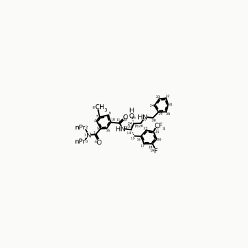 CCCN(CCC)C(=O)c1cc(C)cc(C(=O)N[C@@H](Cc2cc(F)cc(C(F)(F)F)c2)[C@H](O)CNCc2ccccc2)c1